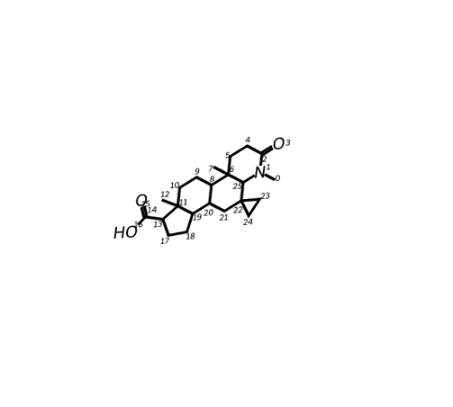 CN1C(=O)CCC2(C)C3CCC4(C)C(C(=O)O)CCC4C3CC3(CC3)C12